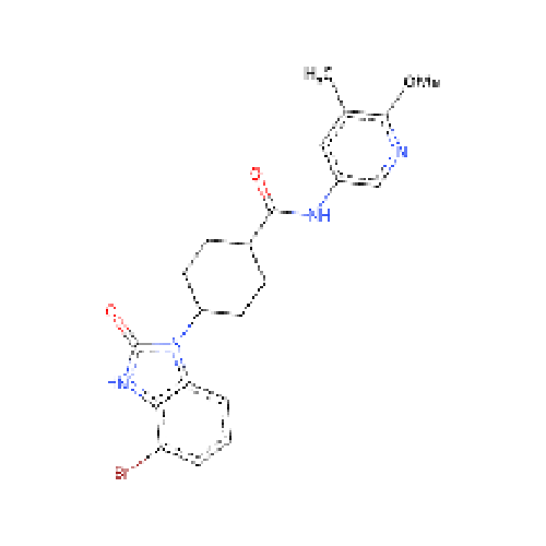 COc1ncc(NC(=O)C2CCC(n3c(=O)[nH]c4c(Br)cccc43)CC2)cc1C